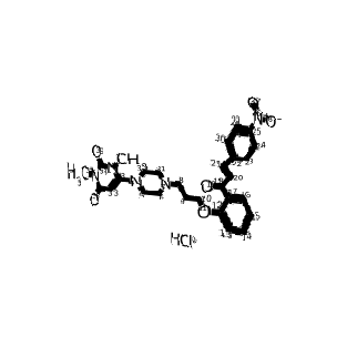 Cl.Cn1c(N2CCN(CCCOc3ccccc3C(=O)C=Cc3ccc([N+](=O)[O-])cc3)CC2)cc(=O)n(C)c1=O